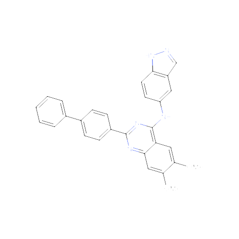 COc1cc2nc(-c3ccc(-c4ccccc4)cc3)nc(Nc3ccc4[nH]ncc4c3)c2cc1OC